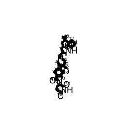 N=C/C(=C\NCC1(c2ccccc2)CC1)CN1CCC2(CC1)COc1c2ccc2c1CN([C@H]1CCC(=O)NC1=O)C2=O